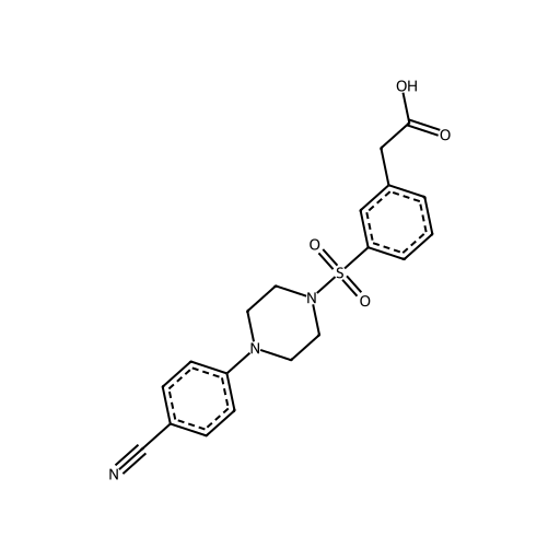 N#Cc1ccc(N2CCN(S(=O)(=O)c3cccc(CC(=O)O)c3)CC2)cc1